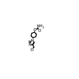 NC(=O)O[C@H]1CC[C@H](n2cc(C=O)nn2)CC1